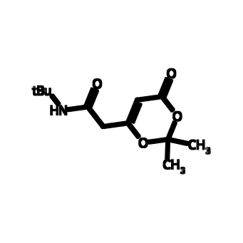 CC(C)(C)NC(=O)CC1=CC(=O)OC(C)(C)O1